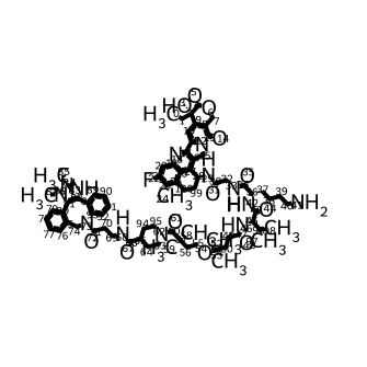 CC[C@@]1(O)C(=O)OCc2c1cc1n(c2=O)Cc2c-1nc1cc(F)c(C)c3c1c2[C@@H](NC(=O)CNC(=O)[C@H](CCCCN)NC(=O)[C@@H](NC(=O)CCC(C)(C)OCCC(C)(C)C(=O)N1CCC(C(=O)NCCC(=O)N2Cc4ccccc4C4=C(NN(C)N4C)c4ccccc42)CC1)C(C)C)CC3